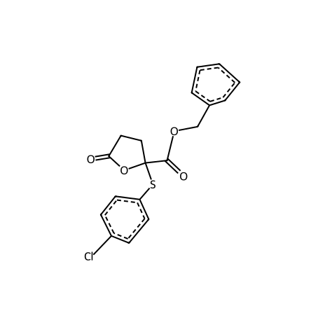 O=C1CCC(Sc2ccc(Cl)cc2)(C(=O)OCc2ccccc2)O1